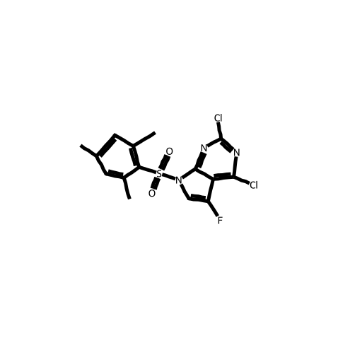 Cc1cc(C)c(S(=O)(=O)n2cc(F)c3c(Cl)nc(Cl)nc32)c(C)c1